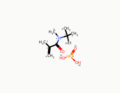 C=C(C)C(=O)N(C)C(C)(C)CC.O=[PH](O)O